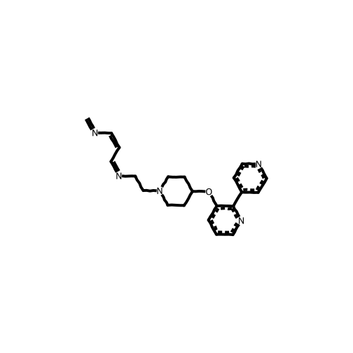 C=N/C=C\C=N/CCN1CCC(Oc2cccnc2-c2ccncc2)CC1